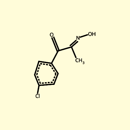 C/C(=N\O)C(=O)c1ccc(Cl)cc1